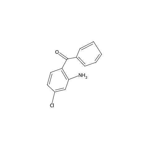 Nc1cc(Cl)ccc1C(=O)c1ccccc1